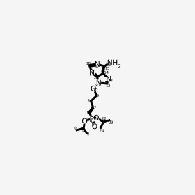 CC(C)OP(=O)(/C=C/CCOn1cnc2c(N)ncnc21)OC(C)C